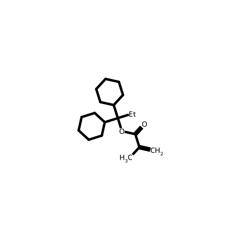 C=C(C)C(=O)OC(CC)(C1CCCCC1)C1CCCCC1